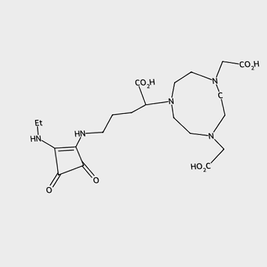 CCNc1c(NCCCC(C(=O)O)N2CCN(CC(=O)O)CCN(CC(=O)O)CC2)c(=O)c1=O